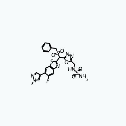 Cn1cc(-c2cc3sc(C(c4nnc(CNS(N)(=O)=O)o4)S(=O)(=O)Cc4ccccc4)nc3cc2F)cn1